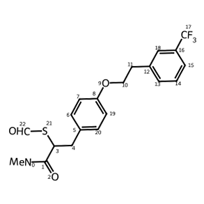 CNC(=O)C(Cc1ccc(OCCc2cccc(C(F)(F)F)c2)cc1)SC=O